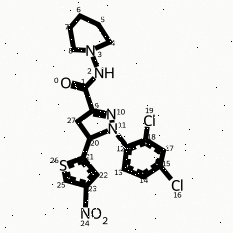 O=C(NN1CCCCC1)C1=NN(c2ccc(Cl)cc2Cl)C(c2cc([N+](=O)[O-])cs2)C1